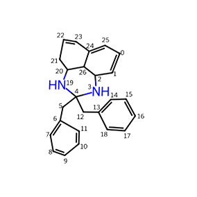 C1=CC2NC(Cc3ccccc3)(Cc3ccccc3)NC3CC=CC(=C1)C23